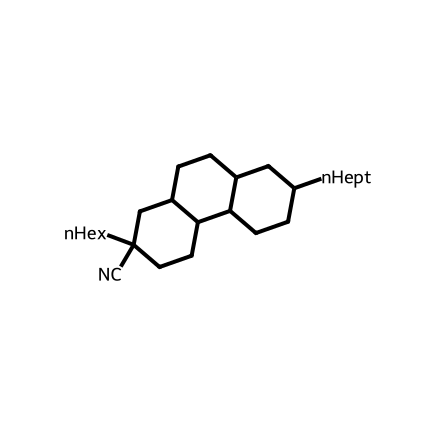 CCCCCCCC1CCC2C(CCC3CC(C#N)(CCCCCC)CCC32)C1